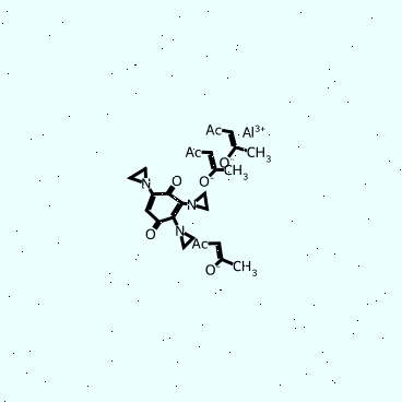 CC(=O)/C=C(/C)[O-].CC(=O)/C=C(/C)[O-].CC(=O)/C=C(/C)[O-].O=C1C=C(N2CC2)C(=O)C(N2CC2)=C1N1CC1.[Al+3]